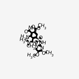 COC(=O)c1cc(S(=O)(=O)Nc2ncc(OC)c(OC)n2)c(C(=O)N(C)C)c(N)c1C(N)=O